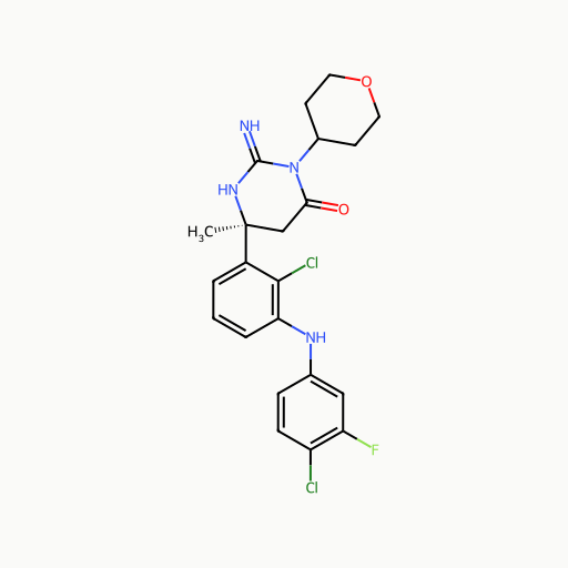 C[C@@]1(c2cccc(Nc3ccc(Cl)c(F)c3)c2Cl)CC(=O)N(C2CCOCC2)C(=N)N1